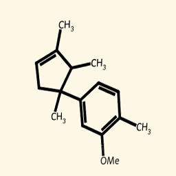 COc1cc(C2(C)CC=C(C)C2C)ccc1C